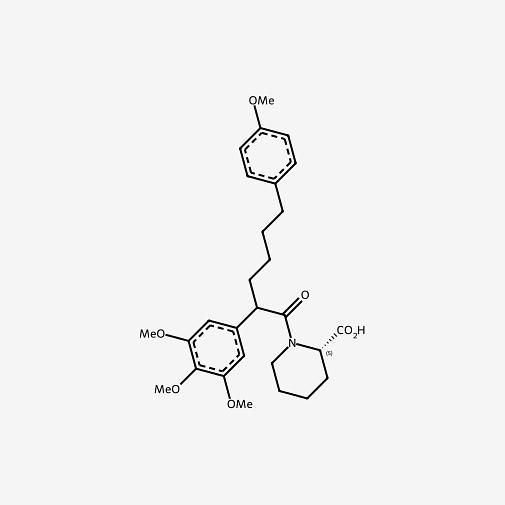 COc1ccc(CCCCC(C(=O)N2CCCC[C@H]2C(=O)O)c2cc(OC)c(OC)c(OC)c2)cc1